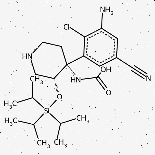 CC(C)[Si](O[C@@H]1CNCC[C@@]1(NC(=O)O)c1cc(C#N)cc(N)c1Cl)(C(C)C)C(C)C